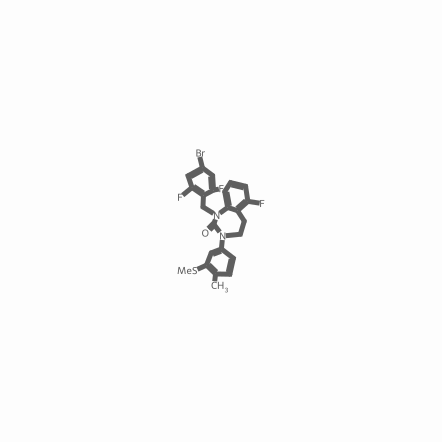 CSc1cc(N2CCc3c(F)cccc3N(Cc3c(F)cc(Br)cc3F)C2=O)ccc1C